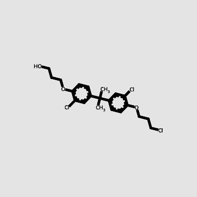 CC(C)(c1ccc(OCCCO)c(Cl)c1)c1ccc(OCCCCl)c(Cl)c1